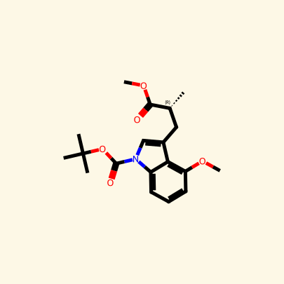 COC(=O)[C@H](C)Cc1cn(C(=O)OC(C)(C)C)c2cccc(OC)c12